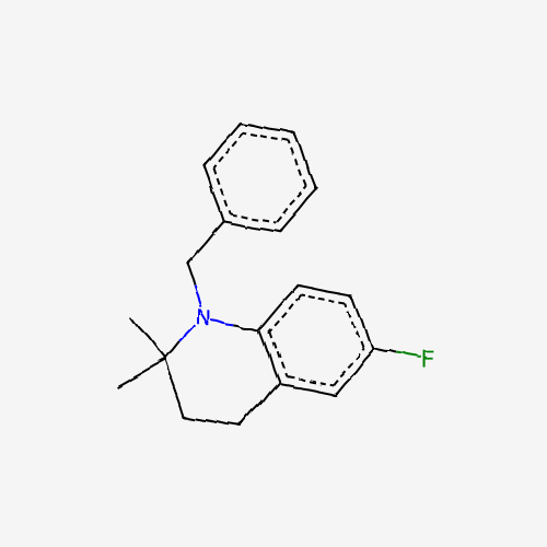 CC1(C)CCc2cc(F)ccc2N1Cc1ccccc1